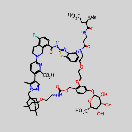 CSC(CC(=O)O)C(=O)NCCC(=O)NCCOCCOc1cc(O[C@@H]2O[C@H](C(=O)O)[C@@H](O)[C@H](O)[C@H]2O)ccc1COC(=O)NCCOC12CC3(C)CC(C)(CC(Cn4ncc(-c5ccc(N6CCc7c(F)ccc(C(=O)Nc8nc9ccccc9s8)c7C6)nc5C(=O)O)c4C)(C3)C1)C2